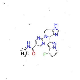 CC1(NC(=O)c2cnc(N3CCc4[nH]cnc4[C@@H]3c3cc4c(F)cccn4n3)nc2)CC1